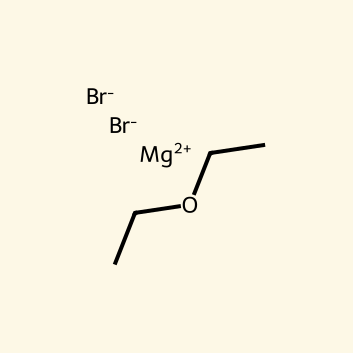 CCOCC.[Br-].[Br-].[Mg+2]